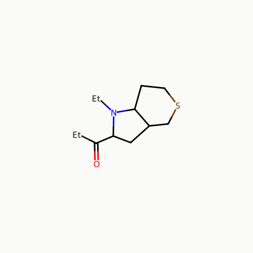 CCC(=O)C1CC2CSCCC2N1CC